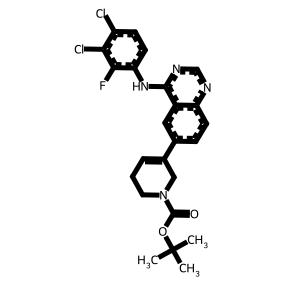 CC(C)(C)OC(=O)N1CCC=C(c2ccc3ncnc(Nc4ccc(Cl)c(Cl)c4F)c3c2)C1